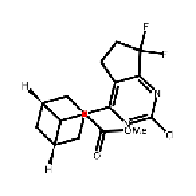 COC(=O)CC1[C@@H]2C[C@H]1CN(c1nc(Cl)nc3c1CCC3(F)F)C2